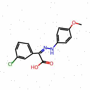 COc1ccc(NN=C(C(=O)O)c2cccc(Cl)c2)cc1